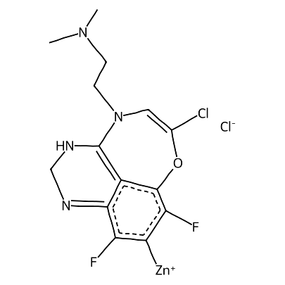 CN(C)CCN1C=C(Cl)Oc2c(F)[c]([Zn+])c(F)c3c2=C1NCN=3.[Cl-]